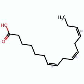 CC/C=C\C/C=C\C/C=C\CCCCCC(=O)O